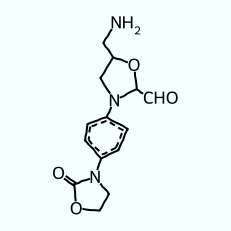 NCC1CN(c2ccc(N3CCOC3=O)cc2)C(C=O)O1